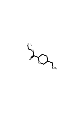 CCOC(=O)C1CCC(CC)CO1